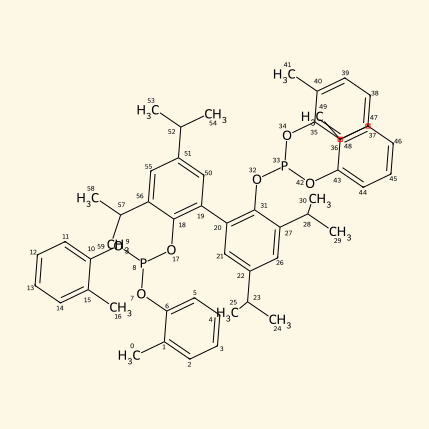 Cc1ccccc1OP(Oc1ccccc1C)Oc1c(-c2cc(C(C)C)cc(C(C)C)c2OP(Oc2ccccc2C)Oc2ccccc2C)cc(C(C)C)cc1C(C)C